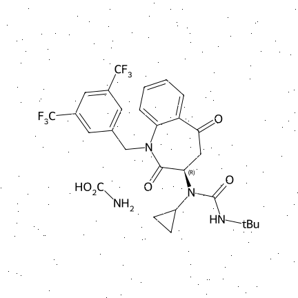 CC(C)(C)NC(=O)N(C1CC1)[C@@H]1CC(=O)c2ccccc2N(Cc2cc(C(F)(F)F)cc(C(F)(F)F)c2)C1=O.NC(=O)O